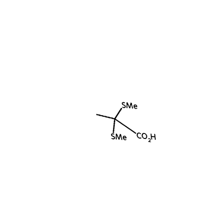 CSC(C)(SC)C(=O)O